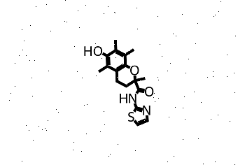 Cc1c(C)c2c(c(C)c1O)CCC(C)(C(=O)Nc1nccs1)O2